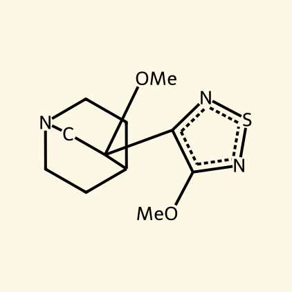 COc1nsnc1C1(OC)CN2CCC1CC2